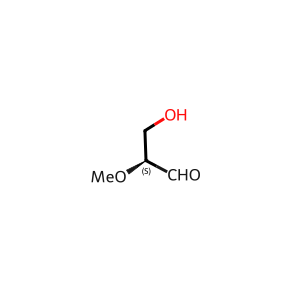 CO[C@H](C=O)CO